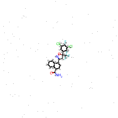 NC(=O)c1ccc(C2=NOC(c3cc(Cl)c(F)c(Cl)c3)(C(F)(F)F)C2)c2ccccc12